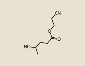 CC(C#N)CCC(=O)OCCC#N